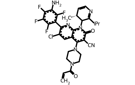 C=CC(=O)N1CCN(c2c(C#N)c(=O)n(C3C(C(C)C)=NC=C[C@H]3C)c3nc(-c4c(F)c(N)c(F)c(F)c4F)c(Cl)cc23)CC1